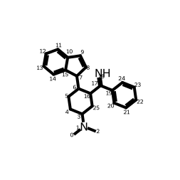 CN(C)C1CCC(C2C=Cc3ccccc32)C(C(=N)c2ccccc2)C1